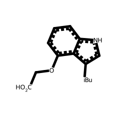 CCC(C)c1c[nH]c2cccc(OCC(=O)O)c12